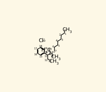 CCCCCCCC[N+](C)(C)C(CC)c1ccccc1.[Cl-]